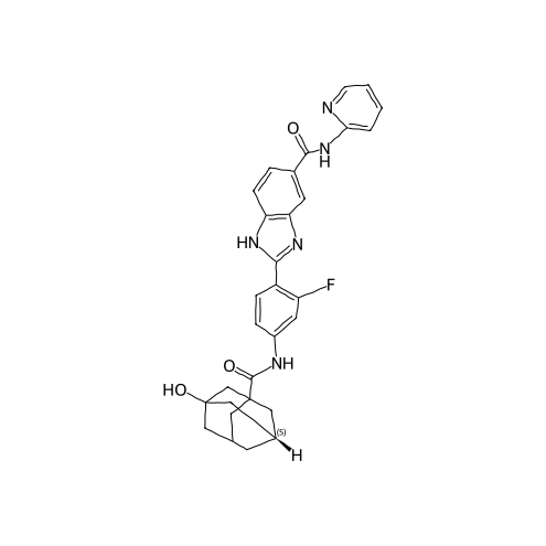 O=C(Nc1ccccn1)c1ccc2[nH]c(-c3ccc(NC(=O)C45CC6C[C@H](CC(O)(C6)C4)C5)cc3F)nc2c1